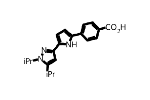 CC(C)c1cc(-c2ccc(-c3ccc(C(=O)O)cc3)[nH]2)nn1C(C)C